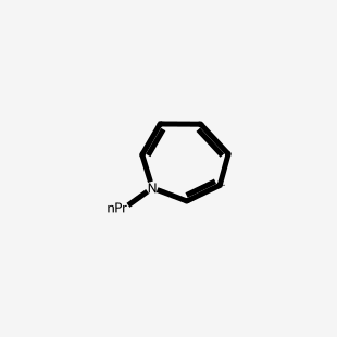 CCCN1C=[C]C=CC=C1